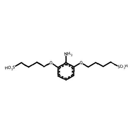 Nc1c(OCCCCS(=O)(=O)O)cccc1OCCCCS(=O)(=O)O